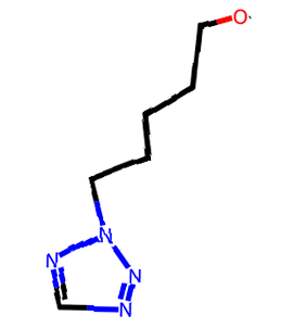 [O]CCCCCn1ncnn1